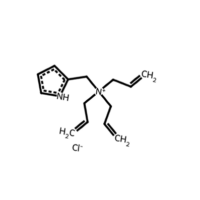 C=CC[N+](CC=C)(CC=C)Cc1ccc[nH]1.[Cl-]